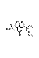 COC[C@@H](C)Nc1cc(Br)cc(NS(C)(=O)=O)c1[N+](=O)[O-]